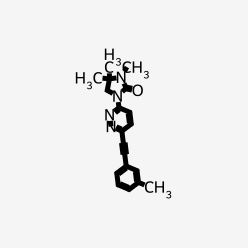 Cc1cccc(C#Cc2ccc(N3CC(C)(C)N(C)C3=O)nn2)c1